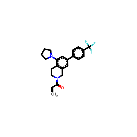 C=CC(=O)N1CCc2c(cc(-c3ccc(C(F)(F)F)cc3)cc2N2CCCC2)C1